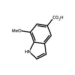 COc1cc(C(=O)O)cc2cc[nH]c12